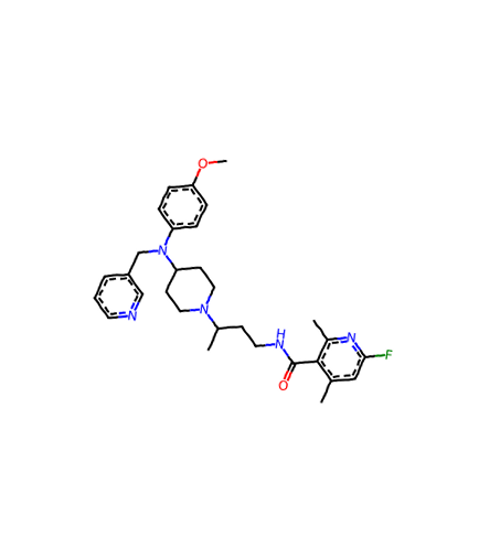 COc1ccc(N(Cc2cccnc2)C2CCN(C(C)CCNC(=O)c3c(C)cc(F)nc3C)CC2)cc1